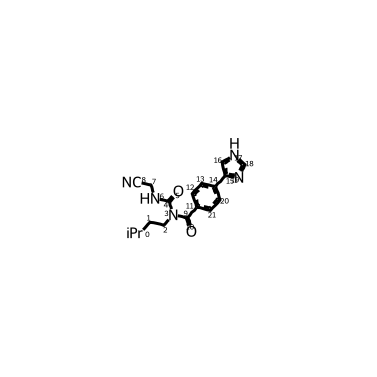 CC(C)CCN(C(=O)NCC#N)C(=O)c1ccc(-c2c[nH]cn2)cc1